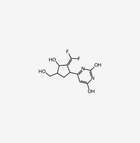 OCC1CC(c2cc(O)nc(O)n2)C(=C(F)F)C1O